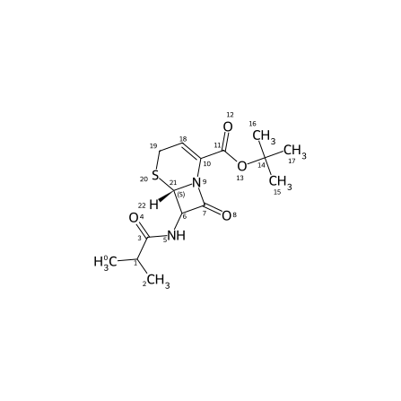 CC(C)C(=O)NC1C(=O)N2C(C(=O)OC(C)(C)C)=CCS[C@@H]12